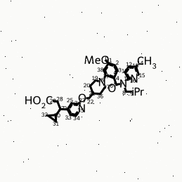 COc1ccc(C(=O)N(CC(C)C)c2ccc(C)cn2)c(N2CCC(COc3cc(C(CC(=O)O)C4CC4)ccn3)CC2)c1